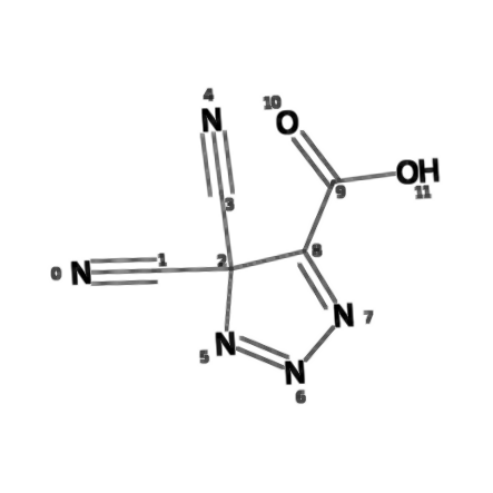 N#CC1(C#N)N=NN=C1C(=O)O